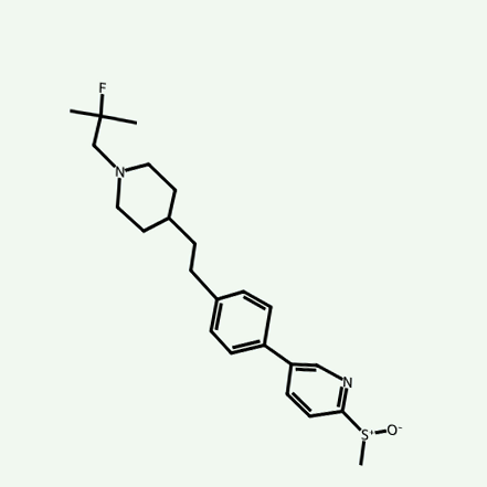 C[S+]([O-])c1ccc(-c2ccc(CCC3CCN(CC(C)(C)F)CC3)cc2)cn1